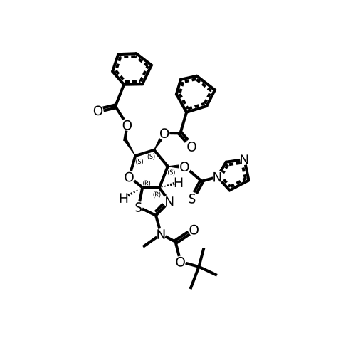 CN(C(=O)OC(C)(C)C)C1=N[C@@H]2[C@H](OC(=S)n3ccnc3)[C@H](OC(=O)c3ccccc3)[C@H](COC(=O)c3ccccc3)O[C@@H]2S1